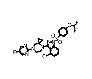 O=S(=O)(c1ccc(OC(F)F)cc1)n1nc(N2CCN(c3ncc(F)cn3)CC23CC3)c2c(Cl)cccc21